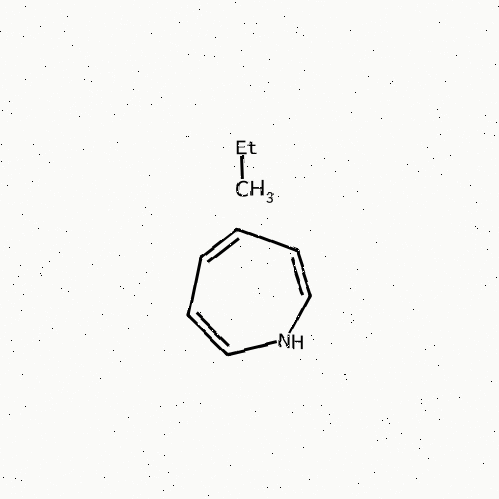 C1=CC=CNC=C1.CCC